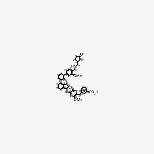 COc1nc(-c2cccc(-c3cccc4c3CC[C@@H]4Nc3nc(OC)c(CN4CC5(C(=O)O)CCC4CC5)nc3C(F)(F)F)c2Cl)ccc1CNCC1CCC(=O)N1